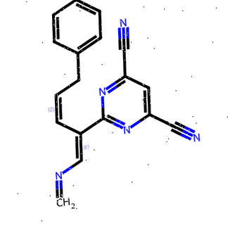 C=N/C=C(\C=C/Cc1ccccc1)c1nc(C#N)cc(C#N)n1